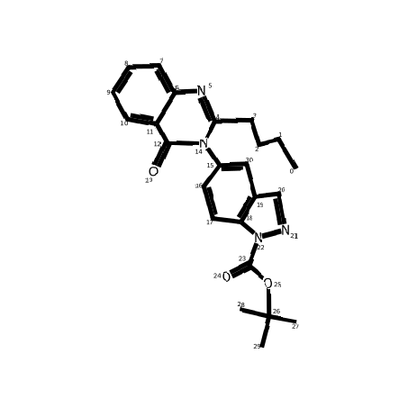 CCCCc1nc2ccccc2c(=O)n1-c1ccc2c(cnn2C(=O)OC(C)(C)C)c1